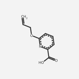 C=CCOc1cccc(C(=O)O)n1